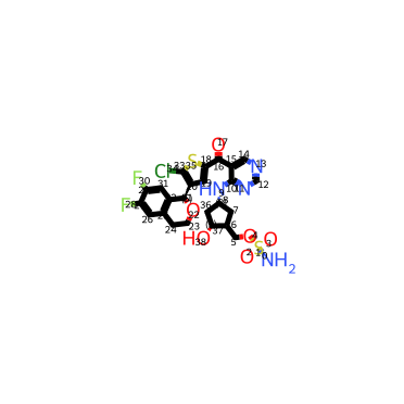 NS(=O)(=O)OCC1C[C@@H](Nc2ncncc2C(=O)c2cc([C@H]3OCCc4cc(F)c(F)cc43)c(Cl)s2)C[C@@H]1O